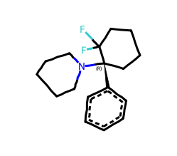 FC1(F)CCCC[C@]1(c1ccccc1)N1CCCCC1